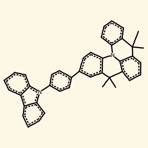 CC1(C)c2ccccc2N2c3ccc(-c4ccc(-n5c6ccccc6c6ccccc65)cc4)cc3C(C)(C)c3cccc1c32